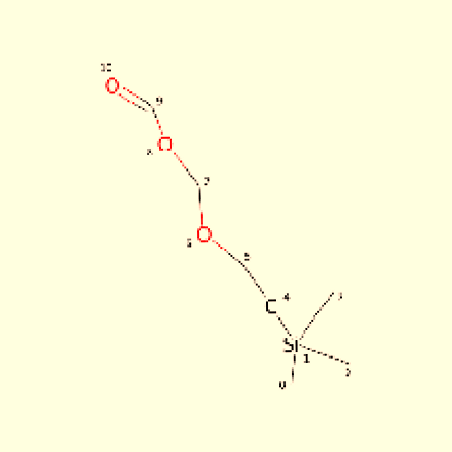 C[Si](C)(C)CCOCOC=O